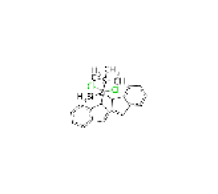 C[Si](C)(C)[Zr]([SiH3])([Cl])([Cl])([CH]1C=Cc2ccccc21)[CH]1C=Cc2ccccc21